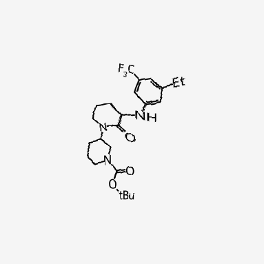 CCc1cc(NC2CCCN([C@@H]3CCCN(C(=O)OC(C)(C)C)C3)C2=O)cc(C(F)(F)F)c1